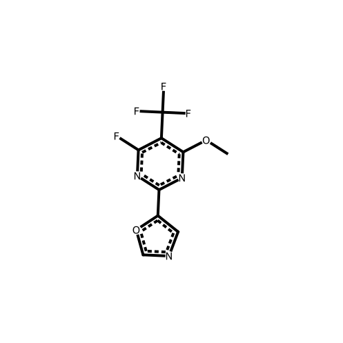 COc1nc(-c2cnco2)nc(F)c1C(F)(F)F